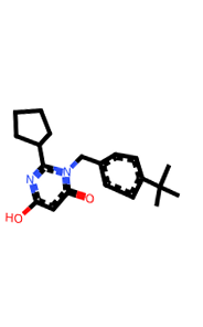 CC(C)(C)c1ccc(Cn2c(C3CCCC3)nc(O)cc2=O)cc1